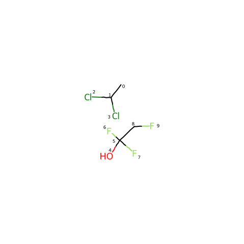 CC(Cl)Cl.OC(F)(F)CF